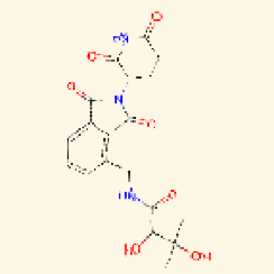 CC(C)(O)C(O)C(=O)NCc1cccc2c1C(=O)N(C1CCC(=O)NC1=O)C2=O